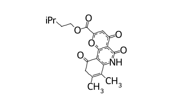 CC1=C(C)c2[nH]c(=O)c3c(=O)cc(C(=O)OCCC(C)C)oc3c2C(=O)C1